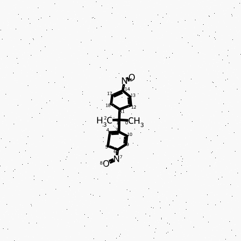 CC(C)(C1=CCC(N=O)C=C1)C1C=CC(N=O)=CC1